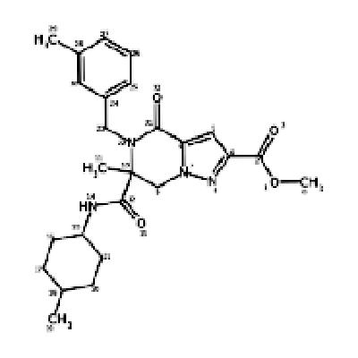 COC(=O)c1cc2n(n1)CC(C)(C(=O)NC1CCC(C)CC1)N(Cc1cccc(C)c1)C2=O